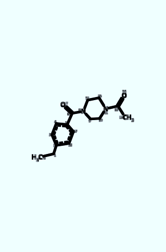 CCc1ccc(C(=O)N2CCN(C(C)=O)CC2)cc1